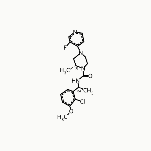 COc1cccc([C@H](C)NC(=O)N2CCN(c3ccncc3F)C[C@H]2C)c1Cl